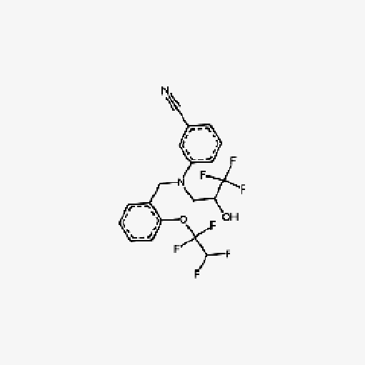 N#Cc1cccc(N(Cc2ccccc2OC(F)(F)C(F)F)CC(O)C(F)(F)F)c1